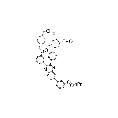 C=CC1CCC(COc2cccc(-c3nc4ccc(-c5cccc(OOCCC)c5)cc4nc3-c3cccc(OCC4CCC(C=O)CC4)c3)c2)CC1